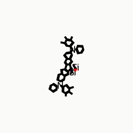 Cc1cc(N(c2ccccc2)c2ccc3cc4c(cc3c2)C([Si](C)(C)C)([Si](C)(C)C)c2cc3cc(N(c5ccccc5)c5cc(C)c(C)c(C)c5)ccc3cc2-4)cc(C)c1C